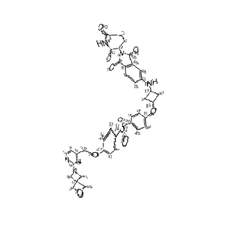 O=C1CCC(N2C(=O)c3ccc(NC4CC(Oc5ccc(S(=O)(=O)c6ccc(OCc7ccnc(N8CC9(COC9)C8)n7)cc6)cc5)C4)cc3C2=O)C(=O)N1